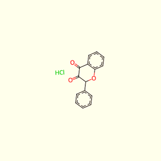 Cl.O=C1C(=O)C(c2ccccc2)Oc2ccccc21